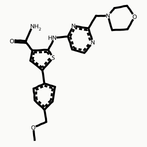 COCc1ccc(-c2cc(C(N)=O)c(Nc3ccnc(CN4CCOCC4)n3)s2)cc1